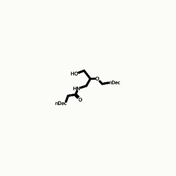 CCCCCCCCCCCOC(CO)CNC(=O)CCCCCCCCCCC